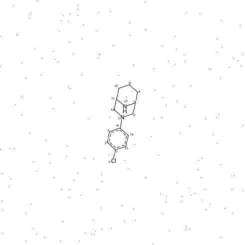 Clc1ccc(N2CC3CCCC(C2)N3)cc1